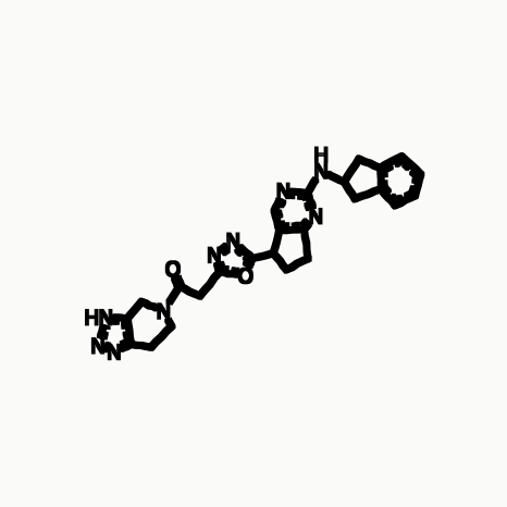 O=C(Cc1nnc(C2CCc3nc(NC4Cc5ccccc5C4)ncc32)o1)N1CCc2nn[nH]c2C1